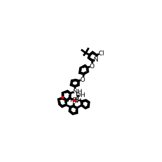 CC(C)(C)c1cc(Cl)nc(Oc2cccc(Oc3cccc(Nc4ccccc4Nc4c(-c5ccccc5)cccc4-c4ccccc4B(O)O)c3)c2)c1